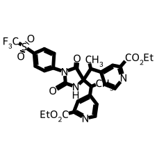 CCOC(=O)c1cc(C(C)C2(C(C)c3ccnc(C(=O)OCC)c3)NC(=O)N(c3ccc(S(=O)(=O)C(F)(F)F)cc3)C2=O)ccn1